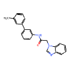 Cc1cccc(-c2cccc(NC(=O)Cn3cnc4ccccc43)c2)c1